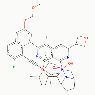 COCOc1cc(-c2nc3c4c(nc(C5COC5)cc4c2F)N2CC4CCC(C2C(C)O3)N4C(=O)O)c2c(C#C[Si](C(C)C)(C(C)C)C(C)C)c(F)ccc2c1